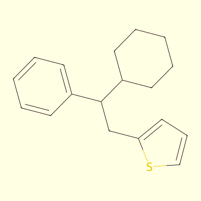 c1ccc(C(Cc2cccs2)C2CCCCC2)cc1